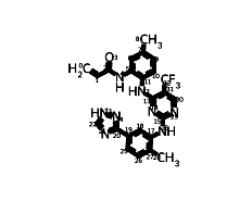 C=CC(=O)Nc1cc(C)ccc1Nc1nc(Nc2cc(-c3nc[nH]n3)ccc2C)ncc1C(F)(F)F